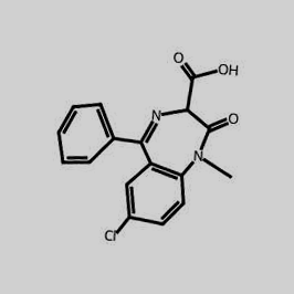 CN1C(=O)C(C(=O)O)N=C(c2ccccc2)c2cc(Cl)ccc21